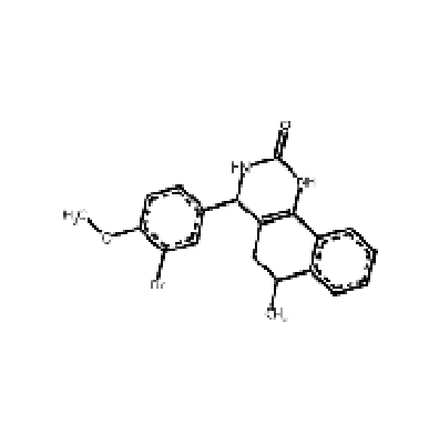 COc1ccc(C2NC(=O)NC3=C2CC(C)c2ccccc23)cc1Br